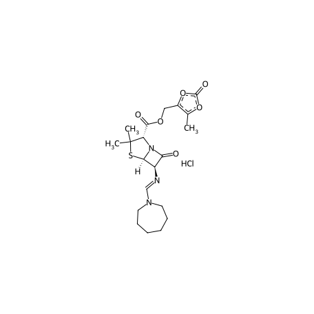 Cc1oc(=O)oc1COC(=O)[C@@H]1N2C(=O)[C@@H](N=CN3CCCCCC3)[C@H]2SC1(C)C.Cl